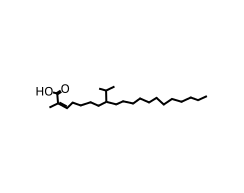 CCCCCCCCCCCCC(CCCCC=C(C)C(=O)O)C(C)C